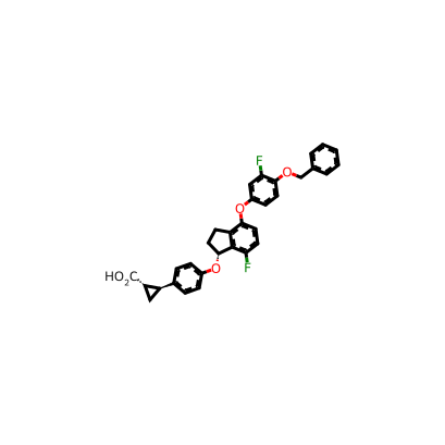 O=C(O)[C@H]1C[C@@H]1c1ccc(O[C@@H]2CCc3c(Oc4ccc(OCc5ccccc5)c(F)c4)ccc(F)c32)cc1